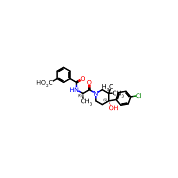 C[C@@H](NC(=O)c1cccc(C(=O)O)c1)C(=O)N1CC[C@](O)(c2ccc(Cl)cc2)C(C)(C)C1